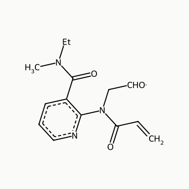 C=CC(=O)N(C[C]=O)c1ncccc1C(=O)N(C)CC